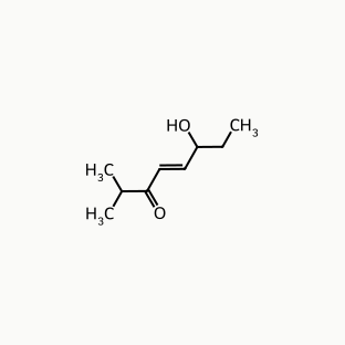 CCC(O)C=CC(=O)C(C)C